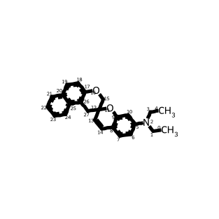 CCN(CC)c1ccc2c(c1)OC1(C=C2)COc2ccc3ccccc3c2C1